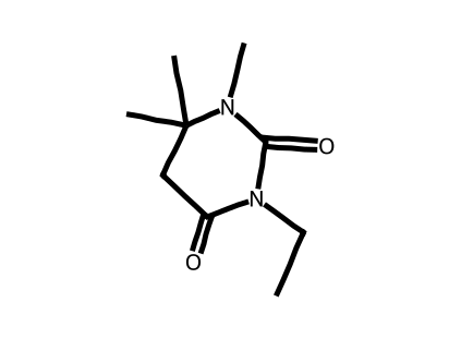 CCN1C(=O)CC(C)(C)N(C)C1=O